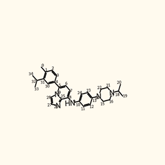 Cc1ccc(-c2ccc(Nc3ccc(N4CCN(C(C)C)CC4)cc3)c3nccn23)cc1C(C)C